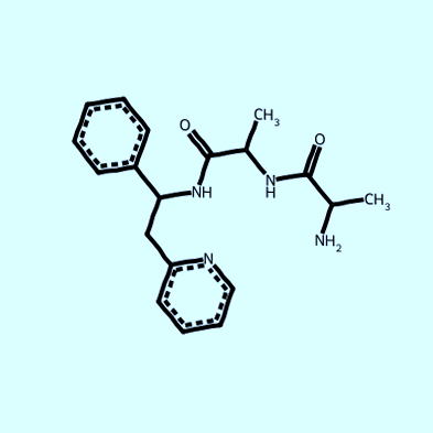 CC(N)C(=O)NC(C)C(=O)NC(Cc1ccccn1)c1ccccc1